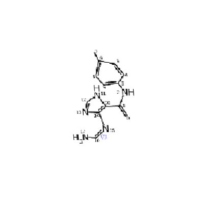 C=C(Nc1ccc(C)cc1)c1[nH]cnc1/N=C\N